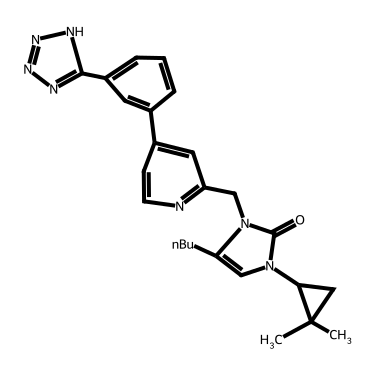 CCCCc1cn(C2CC2(C)C)c(=O)n1Cc1cc(-c2cccc(-c3nnn[nH]3)c2)ccn1